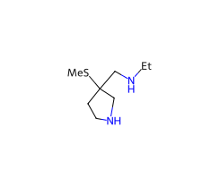 CCNCC1(SC)CCNC1